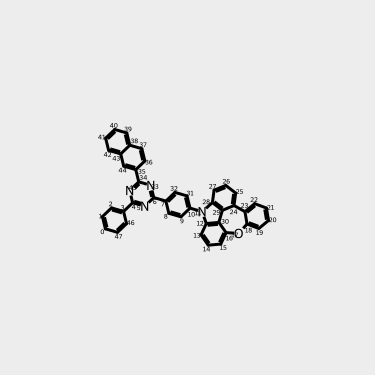 c1ccc(-c2nc(-c3ccc(-n4c5cccc6oc7ccccc7c7cccc4c7c65)cc3)nc(-c3ccc4ccccc4c3)n2)cc1